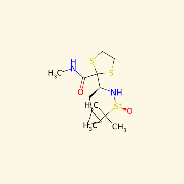 CNC(=O)C1([C@H](CC2CC2)N[S@@+]([O-])C(C)(C)C)SCCS1